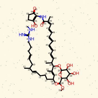 CNC(=N)NCCCC=CCC(C)C=CCCCC(C)C=C(C)C(OC1OC(C(=O)OC)C(O)C(O)C1O)C(C)C=CC=CC=CC=CC=C(C)C(=O)NC1=C(O)CCC1=O